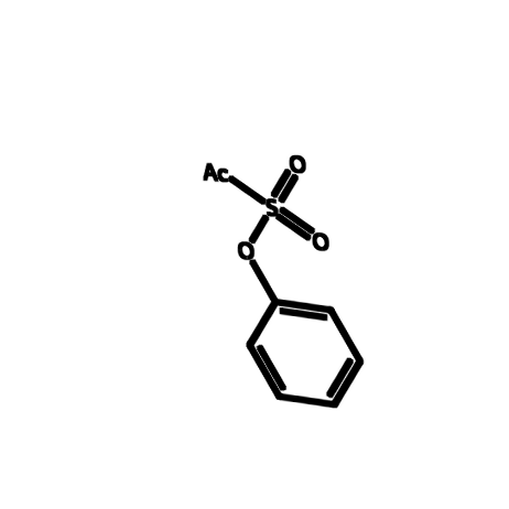 CC(=O)S(=O)(=O)Oc1ccccc1